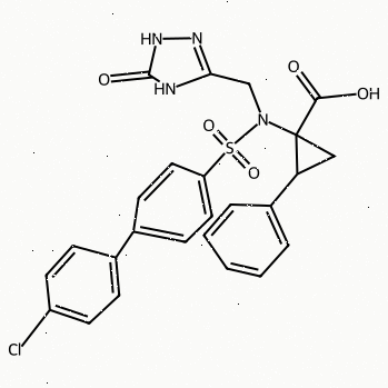 O=C(O)C1(N(Cc2n[nH]c(=O)[nH]2)S(=O)(=O)c2ccc(-c3ccc(Cl)cc3)cc2)CC1c1ccccc1